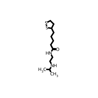 CC(C)NCCNC(=O)CCCCC1CCSS1